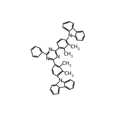 Cc1c(-c2nc(-c3ccccc3)nc(-c3ccc(-n4c5ccccc5c5ccccc54)c(C)c3C)n2)ccc(-n2c3ccccc3c3ccccc32)c1C